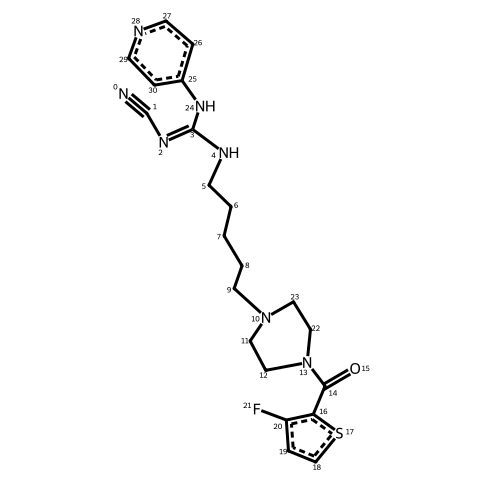 N#CN=C(NCCCCCN1CCN(C(=O)c2sccc2F)CC1)Nc1ccncc1